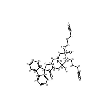 N#CCCCOP(=O)(CCCCCC1(C(=O)NCC(F)(F)F)c2ccccc2-c2ccccc21)OCCCC#N